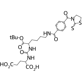 CC(C)(C)OC(=O)C(CCCCNC(=O)c1ccc(C(=O)N2CCSC2=S)cc1)NC(=O)NC(CCC(=O)O)C(=O)O